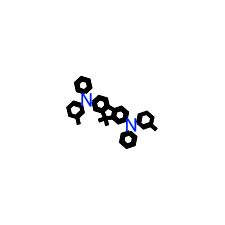 CC1=CC(N(c2ccccc2)c2ccc3c(c2)C(C)(C)c2cc(N(C4=CCCC(C)=C4)c4ccccc4)ccc2-3)=CCC1